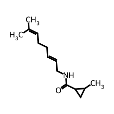 CC(C)=CCCC=CCNC(=O)C1CC1C